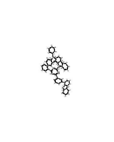 c1ccc(-c2nc(-c3cccc(-c4cccc5c4sc4ccccc45)c3)nc(-n3c4ccccc4c4ccc5c(c6ccccc6n5-c5ccccc5)c43)n2)cc1